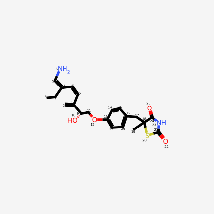 C=C(/C=C\C(=C/N)CC)[C@@H](O)COc1ccc(CC2(C)SC(=O)NC2=O)cc1